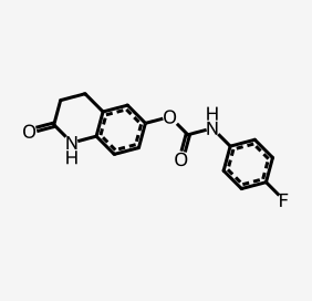 O=C1CCc2cc(OC(=O)Nc3ccc(F)cc3)ccc2N1